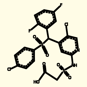 O=C(O)CS(=O)(=O)Nc1cc(C(c2cc(F)ccc2F)S(=O)(=O)c2ccc(Cl)cc2)c(Cl)cn1